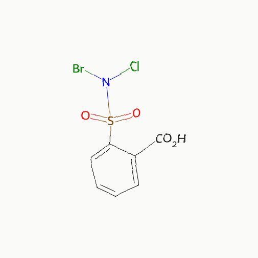 O=C(O)c1ccccc1S(=O)(=O)N(Cl)Br